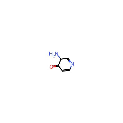 NC1C=NC=CC1=O